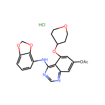 CC(=O)Oc1cc(OC2CCOCC2)c2c(Nc3cccc4c3OCO4)ncnc2c1.Cl